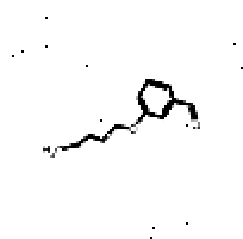 CCCCCOc1cccc(C=O)c1